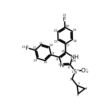 [O-][S+](CC1CC1)c1nc(-c2ccc(F)cc2)c(-c2ccc(F)cc2)[nH]1